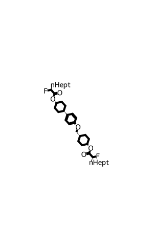 CCCCCCC[C@@H](F)C(=O)O[C@H]1CC[C@H](COc2ccc([C@H]3CC[C@H](OC(=O)[C@H](F)CCCCCCC)CC3)cc2)CC1